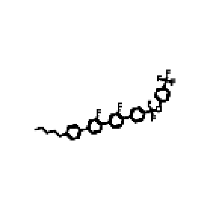 CCCCCc1ccc(-c2ccc(-c3ccc(-c4ccc(C(F)(F)Oc5ccc(C(F)(F)F)cc5)cc4)c(F)c3)c(F)c2)cc1